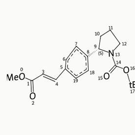 COC(=O)C=Cc1ccc([C@@H]2CCCN2C(=O)OC(C)(C)C)cc1